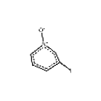 [O-][n+]1[c]c(I)ccc1